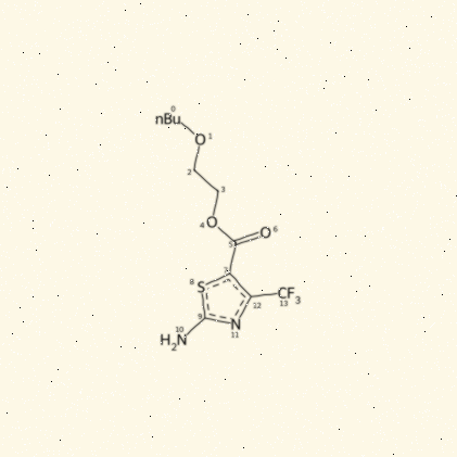 CCCCOCCOC(=O)c1sc(N)nc1C(F)(F)F